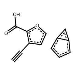 C#Cc1ccoc1C(=O)O.c1cc2cc-2c1